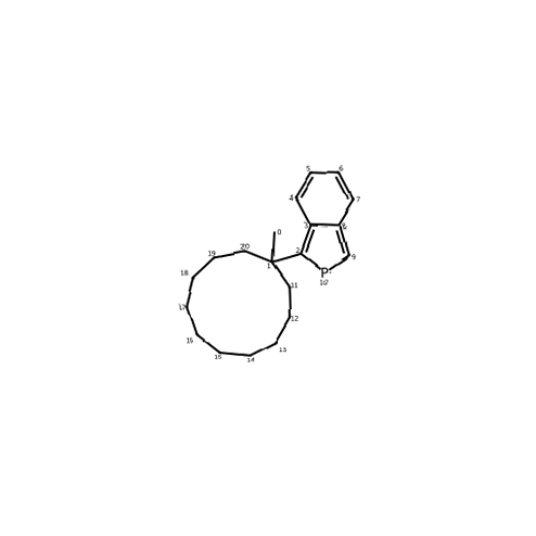 CC1(C2=c3ccccc3=C[P]2)CCCCCCCCCC1